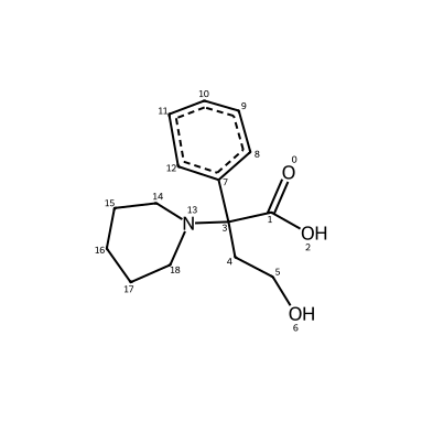 O=C(O)C(CCO)(c1ccccc1)N1CCCCC1